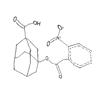 O=C(OC12CC3CC(C1)CC(C(=O)O)(C3)C2)c1ccccc1[N+](=O)[O-]